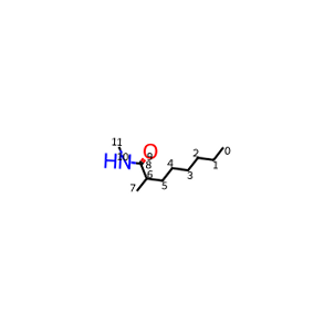 CCCCCCC(C)C(=O)NC